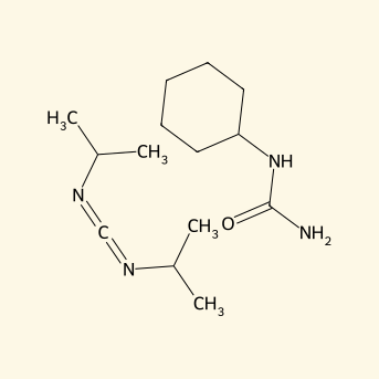 CC(C)N=C=NC(C)C.NC(=O)NC1CCCCC1